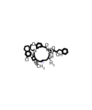 CO[C@H]1/C=C/C[C@H](C)C[S@@](=O)(NC(=O)[C@H](O)Cc2ccccc2)=NC(=O)c2ccc3c(c2)N(C[C@@H]2CC[C@H]21)C[C@@]1(CCCc2cc(Cl)ccc21)CO3